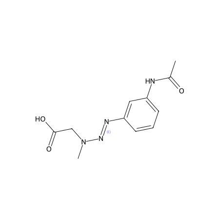 CC(=O)Nc1cccc(/N=N/N(C)CC(=O)O)c1